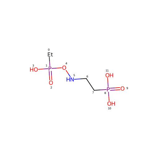 CCP(=O)(O)ONCCP(=O)(O)O